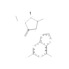 C=C1[C@@H](n2cnc3c(Cl)nc(N)nc32)C(F)[C@H](O)[C@H]1CO